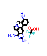 Cn1ccc2c3c(N)nc(N)nc3cc(-c3cccc(N)c3)c21.O=C(O)C(F)(F)F